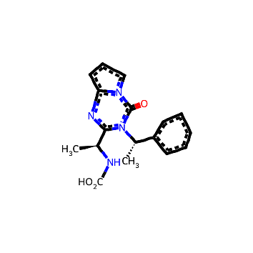 C[C@H](NC(=O)O)c1nc2cccn2c(=O)n1[C@@H](C)c1ccccc1